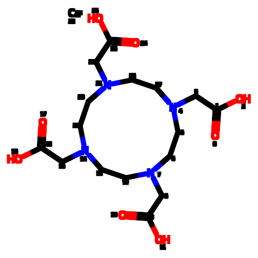 O=C(O)CN1CCN(CC(=O)O)CCN(CC(=O)O)CCN(CC(=O)O)CC1.[Ca]